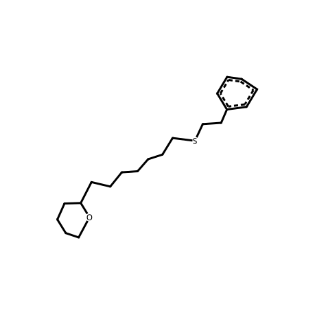 c1ccc(CCSCCCCCCCC2CCCCO2)cc1